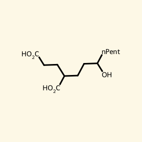 CCCCCC(O)CCC(CCC(=O)O)C(=O)O